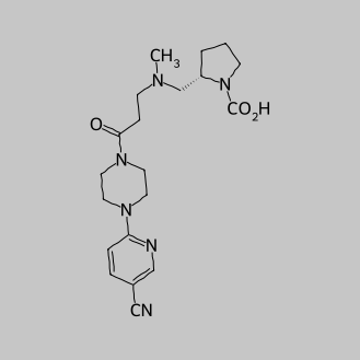 CN(CCC(=O)N1CCN(c2ccc(C#N)cn2)CC1)C[C@@H]1CCCN1C(=O)O